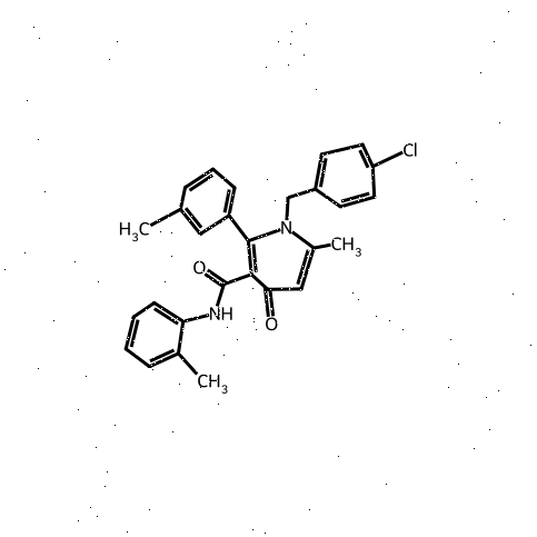 Cc1cccc(-c2c(C(=O)Nc3ccccc3C)c(=O)cc(C)n2Cc2ccc(Cl)cc2)c1